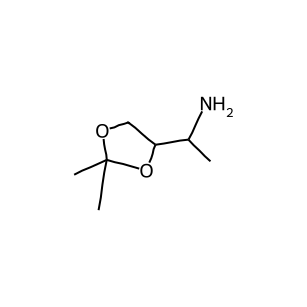 CC(N)C1COC(C)(C)O1